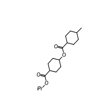 CC1CCC(C(=O)OC2CCC(C(=O)OC(C)C)CC2)CC1